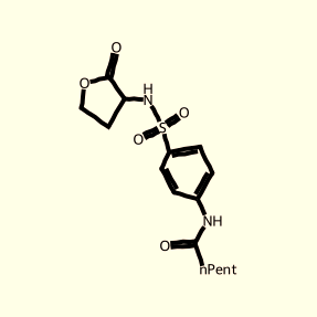 CCCCCC(=O)Nc1ccc(S(=O)(=O)NC2CCOC2=O)cc1